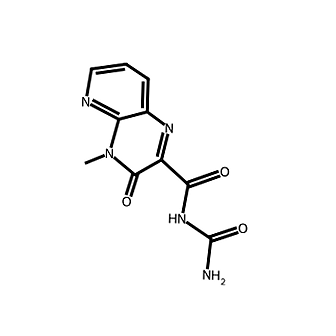 Cn1c(=O)c(C(=O)NC(N)=O)nc2cccnc21